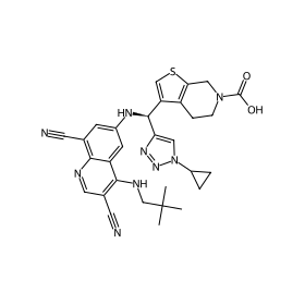 CC(C)(C)CNc1c(C#N)cnc2c(C#N)cc(N[C@H](c3cn(C4CC4)nn3)c3csc4c3CCN(C(=O)O)C4)cc12